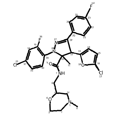 CN1CCOC(CNC(=O)C2(C)C(c3ccc(Cl)o3)C(c3ccc(F)cc3)=NN2c2ccc(Cl)cc2F)C1